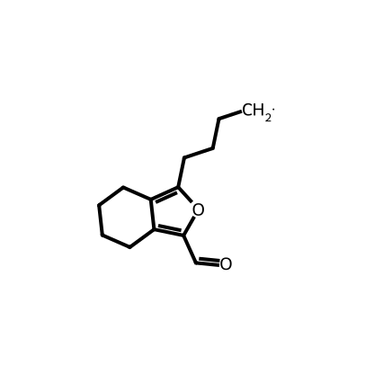 [CH2]CCCc1oc(C=O)c2c1CCCC2